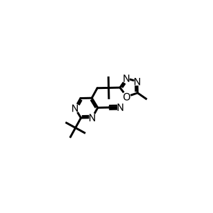 Cc1nnc(C(C)(C)Cc2cnc(C(C)(C)C)nc2C#N)o1